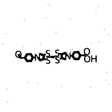 O=Cc1ccc(-n2cc3c(c2)SC(=C2Sc4cn(-c5ccc(C(=O)O)cc5)cc4S2)S3)cc1